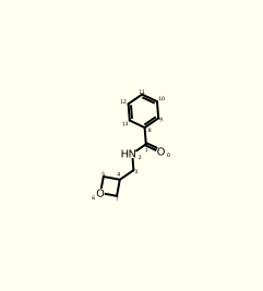 O=C(NCC1COC1)c1ccccc1